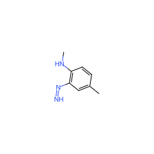 CNc1ccc(C)cc1N=N